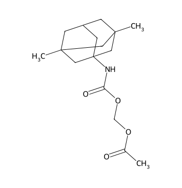 CC(=O)OCOC(=O)NC12CC3CC(C)(CC(C)(C3)C1)C2